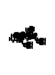 CCC(CC(C(=O)NCCc1ccc(O)c(O)c1)C(C)(C)C(=O)OCCOC(=O)C(C)(C)CC(CC(C)C(=O)NC(C)C)C(=O)NCCc1ccc(O)c(O)c1)C(=O)NC(C)C